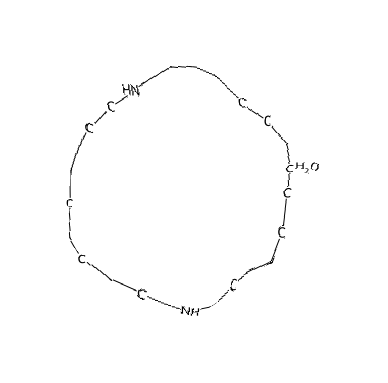 C1CCCCCNCCCCCCCCNCCCCC1.O